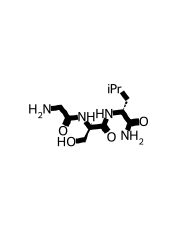 CC(C)C[C@@H](NC(=O)[C@@H](CO)NC(=O)CN)C(N)=O